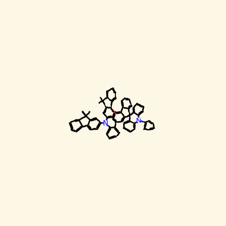 CC1(C)c2ccccc2-c2ccc(N(c3ccc4c(c3)C(C)(C)c3ccccc3-4)c3ccccc3-c3ccc4c(c3)C3(c5ccccc5-4)c4ccccc4N(c4ccccc4)c4ccccc43)cc21